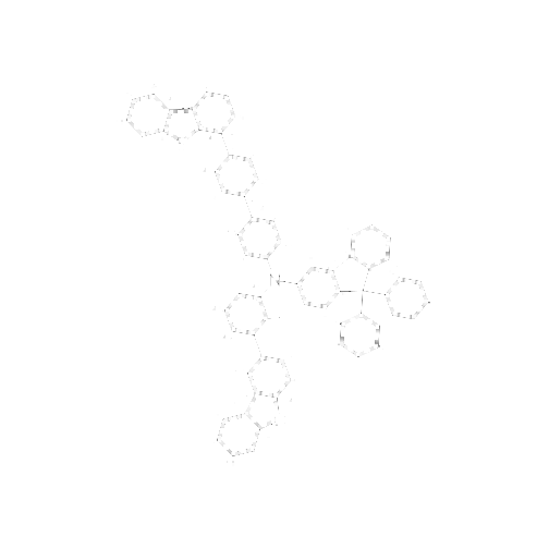 c1ccc(C2(c3ccccc3)c3ccccc3-c3cc(N(c4ccc(-c5ccc(-c6cccc7c6sc6ccccc67)cc5)cc4)c4cccc(-c5ccc6oc7ccccc7c6c5)c4)ccc32)cc1